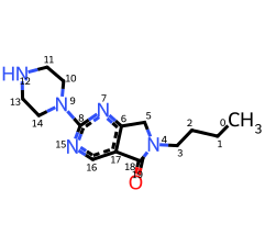 CCCCN1Cc2nc(N3CCNCC3)ncc2C1=O